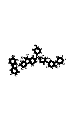 Cc1ccc(N(c2ccc(-c3ccc4oc5ccccc5c4c3)cc2)c2ccc3c(c2)C(C)(C)c2cc(-n4c5ccccc5c5ccccc54)ccc2-3)cc1